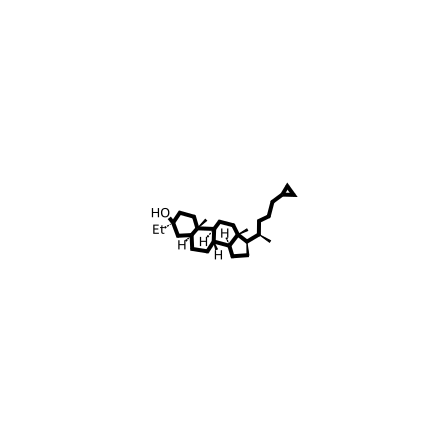 CC[C@]1(O)CC[C@@]2(C)[C@@H](CC[C@@H]3[C@@H]2CC[C@]2(C)[C@@H]([C@H](C)CCCC4CC4)CC[C@@H]32)C1